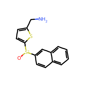 NCc1ccc([S+]([O-])c2ccc3ccccc3c2)s1